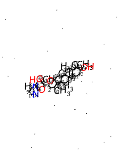 C[C@@H]1CC(C(Oc2ncccn2)C(C)(C)O)OC2C[C@@]3(C)C4CCC5C(C)(C)C(O)CCC56CC46CCC3(C)C21